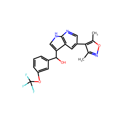 Cc1noc(C)c1-c1cnc2[nH]cc(C(O)c3cccc(OC(F)(F)F)c3)c2c1